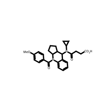 COc1ccc(C(=O)N2c3ccccc3C(N(C(=O)CCC(=O)O)C3CC3)C3CCCC32)cc1